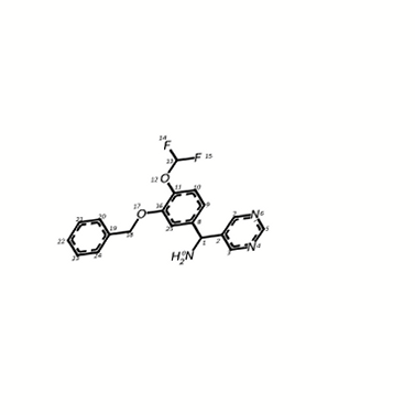 NC(c1cncnc1)c1ccc(OC(F)F)c(OCc2ccccc2)c1